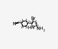 N#Cc1ccc(C2=C(Br)SC(N)N2)cc1